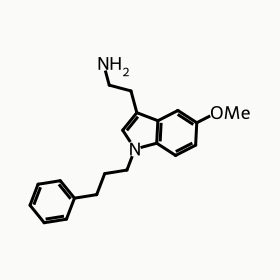 COc1ccc2c(c1)c(CCN)cn2CCCc1ccccc1